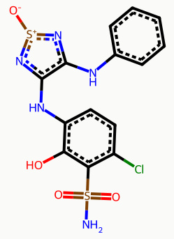 NS(=O)(=O)c1c(Cl)ccc(Nc2n[s+]([O-])nc2Nc2ccccc2)c1O